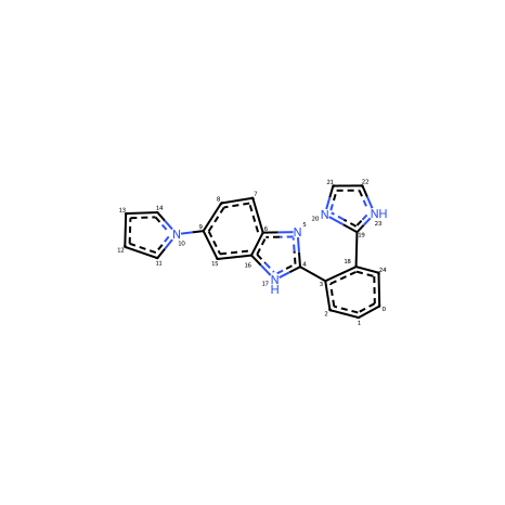 c1ccc(-c2nc3ccc(-n4cccc4)cc3[nH]2)c(-c2ncc[nH]2)c1